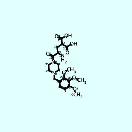 COc1ccc(CN2CCN(C(=O)C(N)CC(C(=O)O)C(=O)O)CC2)c(OC)c1OC